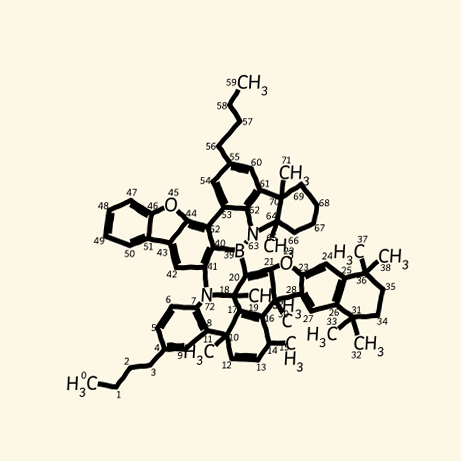 CCCCc1ccc2c(c1)C1(C)C=CC(C)C3=C1C1(C)C(=C4Oc5cc6c(cc5C43C)C(C)(C)CCC6(C)C)B3c4c(cc5c(oc6ccccc65)c4-c4cc(CCCC)cc5c4N3C3(C)CCCCC53C)N21